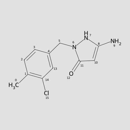 Cc1ccc(Cn2[nH]c(N)cc2=O)cc1Cl